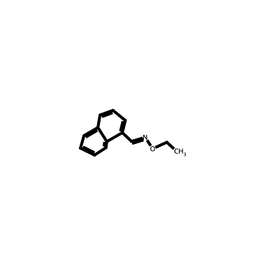 CCON=Cc1cccc2ccccc12